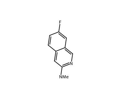 CNc1cc2ccc(F)cc2cn1